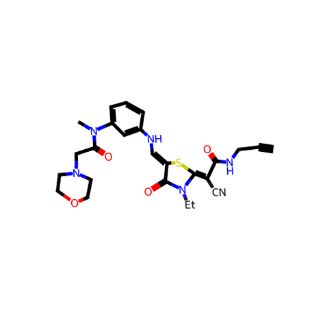 C#CCNC(=O)C(C#N)=c1sc(=CNc2cccc(N(C)C(=O)CN3CCOCC3)c2)c(=O)n1CC